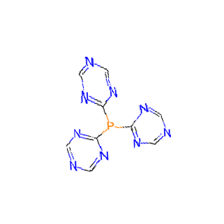 c1ncnc(P(c2ncncn2)c2ncncn2)n1